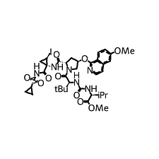 COC(=O)[C@@H](NC(=O)N[C@H](C(=O)N1C[C@H](Oc2nccc3cc(OC)ccc23)C[C@H]1C(=O)N[C@]1(C(=O)NS(=O)(=O)C2CC2)C[C@H]1I)C(C)(C)C)C(C)C